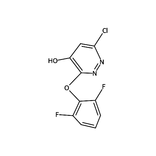 Oc1cc(Cl)nnc1Oc1c(F)cccc1F